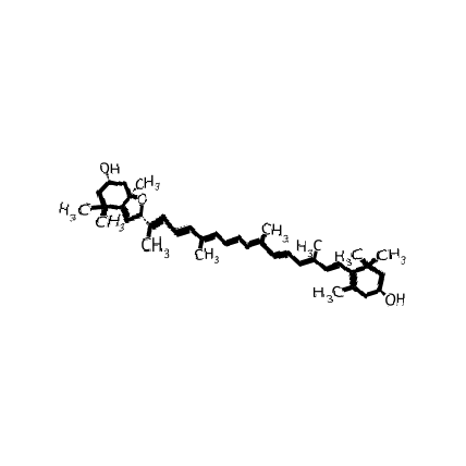 CC1=C(/C=C/C(C)=C/C=C/C(C)=C/C=C/C=C(C)/C=C/C=C(\C)[C@@H]2C=C3C(C)(C)C[C@H](O)C[C@@]3(C)O2)C(C)(C)C[C@@H](O)C1